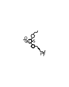 CCCC1CCC(c2cn(OC(C)=O)cc(-c3cccc(CC#CCCC(F)(F)F)c3)c2=S)CC1